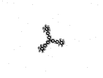 Fc1c(F)c(F)c(-c2ccc(-c3ccc(N(c4ccc(-c5ccc(-c6c(F)c(F)c(F)c(F)c6F)cc5)cc4)c4ccc(-c5ccc(-c6c(F)c(F)c(F)c(F)c6F)cc5)cc4)cc3)cc2)c(F)c1F